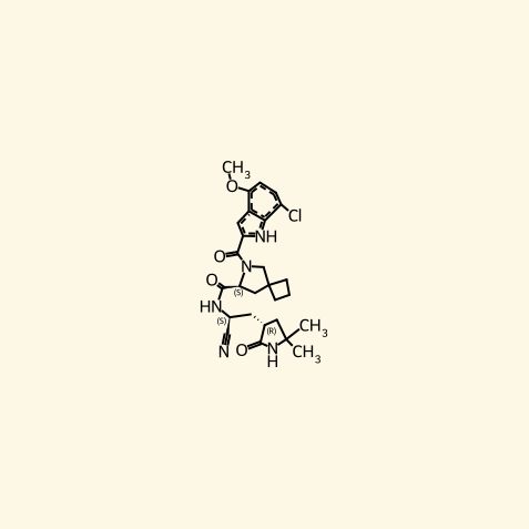 COc1ccc(Cl)c2[nH]c(C(=O)N3CC4(CCC4)C[C@H]3C(=O)N[C@H](C#N)C[C@@H]3CC(C)(C)NC3=O)cc12